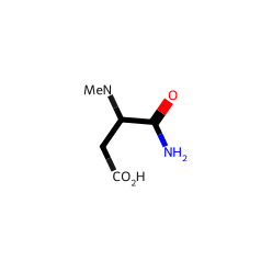 CNC(CC(=O)O)C(N)=O